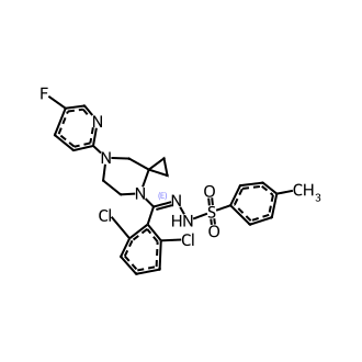 Cc1ccc(S(=O)(=O)N/N=C(\c2c(Cl)cccc2Cl)N2CCN(c3ccc(F)cn3)CC23CC3)cc1